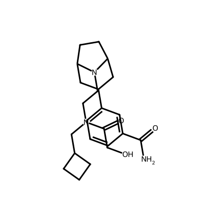 NC(=O)c1cccc(C2CC3CCC(C2)N3CCN(CC2CCC2)C(=O)CO)c1